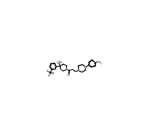 Cc1ccc(N2CCN(CCC(=O)N3CCC(O)(c4cccc(C(F)(F)F)c4)CC3)CC2)cc1